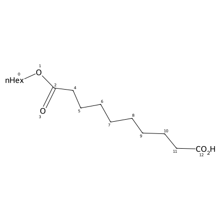 CCCCCCOC(=O)CCCCCCCCC(=O)O